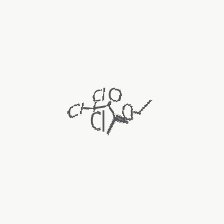 CCOC=C(C)C(=O)C(Cl)(Cl)Cl